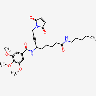 CCCCCNC(=O)CCCCC(C#CCN1C(=O)C=CC1=O)NC(=O)c1cc(OC)c(OC)c(OC)c1